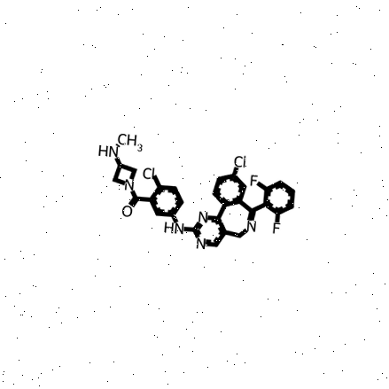 CNC1CN(C(=O)c2cc(Nc3ncc4c(n3)-c3ccc(Cl)cc3C(c3c(F)cccc3F)=NC4)ccc2Cl)C1